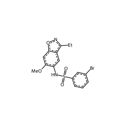 CCc1noc2cc(OC)c(NS(=O)(=O)c3cccc(Br)c3)cc12